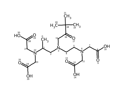 CC(CN(CCN(CC(=O)O)CC(=O)O)CC(=O)C(C)(C)C)N(CC(=O)O)CC(=O)O